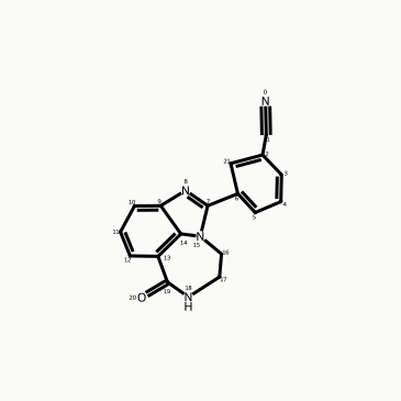 N#Cc1cccc(-c2nc3cccc4c3n2CCNC4=O)c1